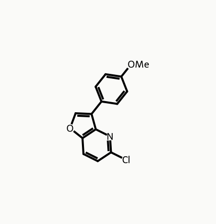 COc1ccc(-c2coc3ccc(Cl)nc23)cc1